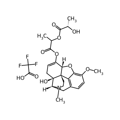 COc1ccc2c3c1O[C@H]1C(OC(=O)C(C)OC(=O)[C@H](C)O)=CC[C@@]4(O)[C@@H](C2)N(C)CC[C@]314.O=C(O)C(F)(F)F